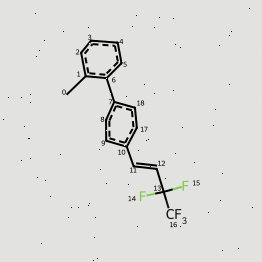 Cc1ccccc1-c1ccc(/C=C/C(F)(F)C(F)(F)F)cc1